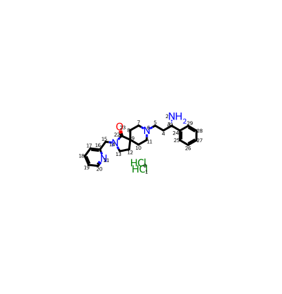 Cl.Cl.N[C@@H](CCN1CCC2(CC1)CCN(Cc1ccccn1)C2=O)c1ccccc1